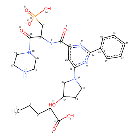 CCCCC(=O)O.O=C(NC(CP(=O)(O)O)C(=O)N1CCNCC1)c1cc(N2CCC(O)C2)nc(-c2ccccc2)n1